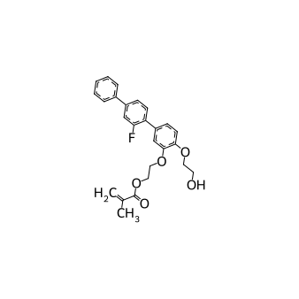 C=C(C)C(=O)OCCOc1cc(-c2ccc(-c3ccccc3)cc2F)ccc1OCCO